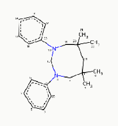 CC1(C)CN(c2ccccc2)CN(c2ccccc2)CC(C)(C)C1